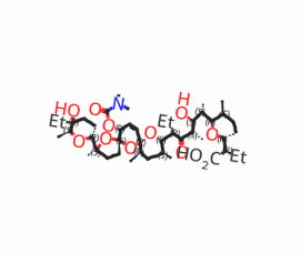 CC[C@@H](C(=O)[C@@H](C)[C@@H](O)[C@H](C)[C@@H]1O[C@@H]([C@@H](CC)C(=O)O)CC[C@@H]1C)[C@H]1O[C@]2(C=C[C@@H](OC(=O)N(C)C)[C@]3(CC[C@@](C)([C@H]4CC[C@](O)(CC)[C@H](C)O4)O3)O2)[C@H](C)C[C@@H]1C